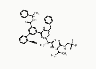 CC(C)[C@H](NC(=O)[C@H](C)NC[C@H](Cc1ccccc1)NC(=O)c1cc(C(=O)N[C@H](C)c2ccccc2)cc(-c2ccccc2C#N)c1)C(=O)NCC(F)(F)F